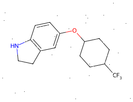 FC(F)(F)C1CCC(Oc2ccc3c(c2)CCN3)CC1